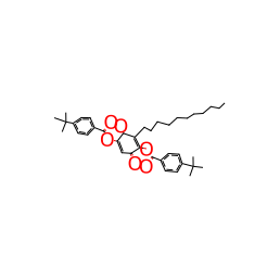 CCCCCCCCCCCC1=C(OC(=O)c2ccc(C(C)(C)C)cc2)C(=O)C=C(OC(=O)c2ccc(C(C)(C)C)cc2)C1=O